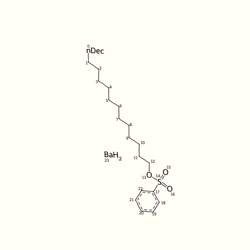 CCCCCCCCCCCCCCCCCCCCCCOS(=O)(=O)c1ccccc1.[BaH2]